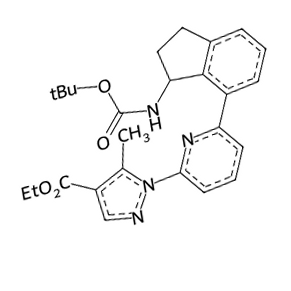 CCOC(=O)c1cnn(-c2cccc(-c3cccc4c3C(NC(=O)OC(C)(C)C)CC4)n2)c1C